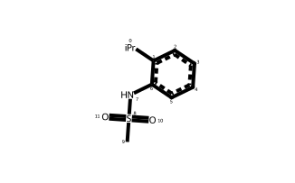 CC(C)c1c[c]ccc1NS(C)(=O)=O